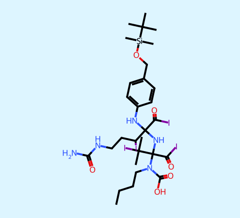 CCCCN(C(=O)O)C(NC(Nc1ccc(CO[Si](C)(C)C(C)(C)C)cc1)(C(=O)I)C(I)CCNC(N)=O)(C(=O)I)C(C)(C)I